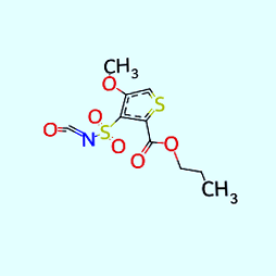 CCCOC(=O)c1scc(OC)c1S(=O)(=O)N=C=O